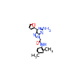 Cc1ccc(NC(=O)Cn2cnc3c(-c4ccco4)nc(N)nc32)c(C)c1